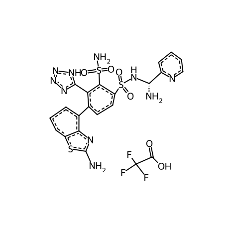 Nc1nc2c(-c3ccc(S(=O)(=O)N[C@@H](N)c4ccccn4)c(S(N)(=O)=O)c3-c3nnn[nH]3)cccc2s1.O=C(O)C(F)(F)F